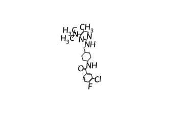 Cc1cnc(NCC2CCC(NC(=O)c3ccc(F)c(Cl)c3)CC2)nc1N(C)C